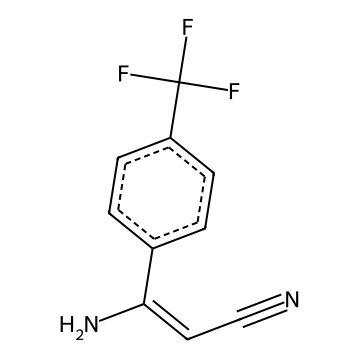 N#C/C=C(/N)c1ccc(C(F)(F)F)cc1